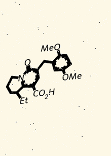 CCC1CCCn2c1c(C(=O)O)cc(Cc1cc(OC)ccc1OC)c2=O